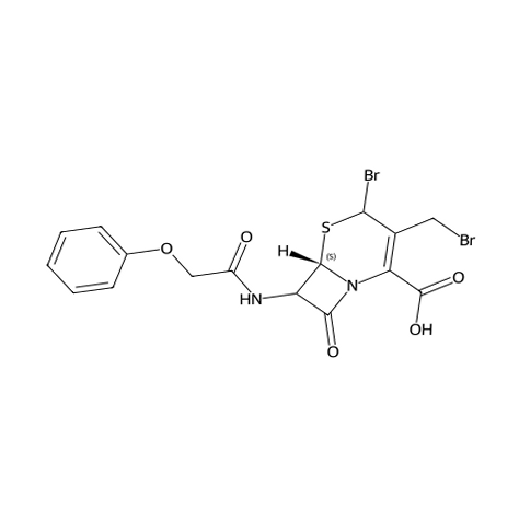 O=C(COc1ccccc1)NC1C(=O)N2C(C(=O)O)=C(CBr)C(Br)S[C@@H]12